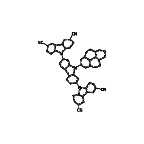 N#Cc1ccc2c(c1)c1cc(C#N)ccc1n2-c1ccc2c3ccc(-n4c5ccc(C#N)cc5c5cc(C#N)ccc54)cc3n(-c3cc4ccc5cccc6ccc(c3)c4c56)c2c1